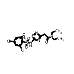 CCN(CC)C(=O)Cc1nsc(NS(=O)(=O)c2c(C)cc(Cl)cc2Cl)n1